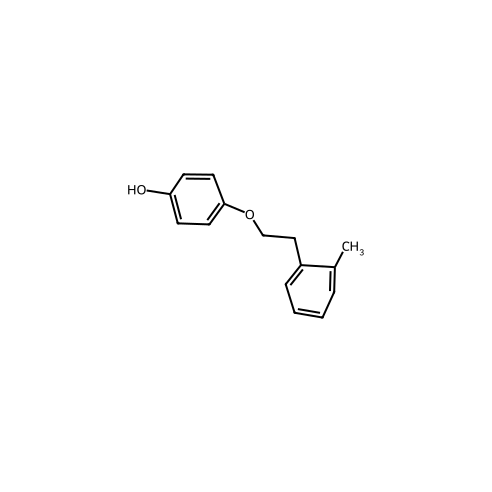 Cc1ccccc1CCOc1ccc(O)cc1